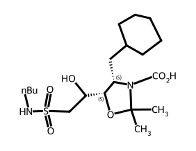 CCCCNS(=O)(=O)CC(O)[C@H]1OC(C)(C)N(C(=O)O)[C@H]1CC1CCCCC1